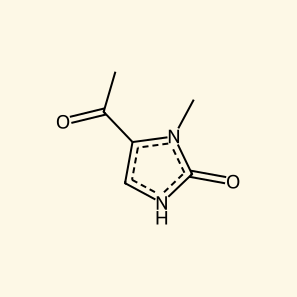 CC(=O)c1c[nH]c(=O)n1C